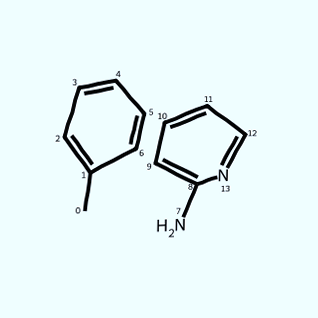 Cc1ccccc1.Nc1ccccn1